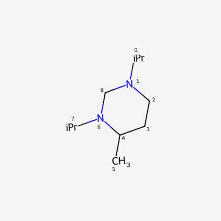 CC(C)N1CCC(C)N(C(C)C)C1